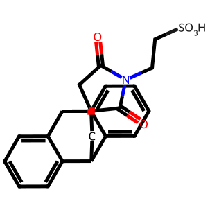 O=C1CC2(CC3c4ccccc4C2c2ccccc23)C(=O)N1CCS(=O)(=O)O